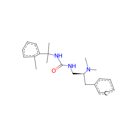 Cc1ccccc1C(C)(C)NC(=O)NC[C@H](Cc1ccccc1)N(C)C